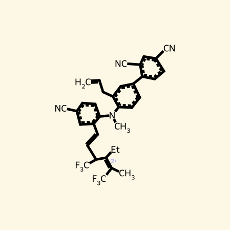 C=CCc1cc(-c2ccc(C#N)cc2C#N)ccc1N(C)c1ccc(C#N)cc1C=CC(/C(CC)=C(/C)C(F)(F)F)C(F)(F)F